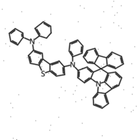 C1=CCCC(N(c2ccccc2)c2ccc3sc4ccc(N(c5ccccc5)c5ccc6c(c5)C5(c7ccccc7-c7ccccc75)c5cccc7c8ccccc8n-6c57)cc4c3c2)=C1